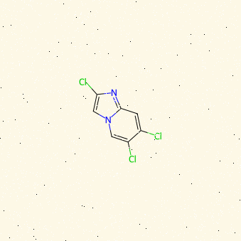 Clc1cn2cc(Cl)c(Cl)cc2n1